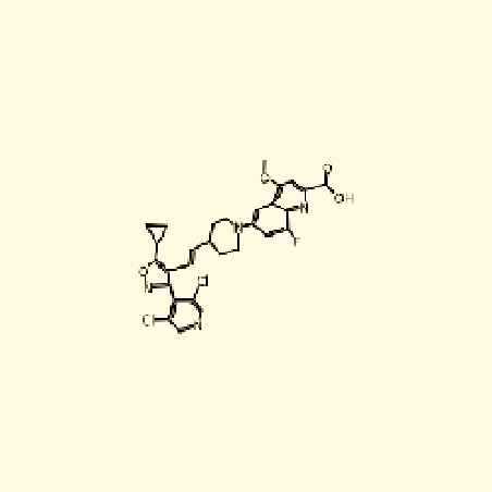 COc1cc(C(=O)O)nc2c(F)cc(N3CCC(/C=C/c4c(-c5c(Cl)cncc5Cl)noc4C4CC4)CC3)cc12